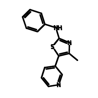 Cc1nc(Nc2ccccc2)sc1-c1cccnc1